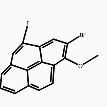 COc1c(Br)cc2c(F)cc3cccc4ccc1c2c43